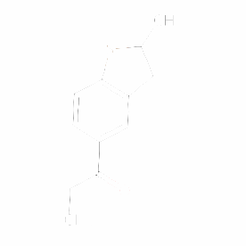 CCC(=O)c1ccc2c(c1)CC(C)S2